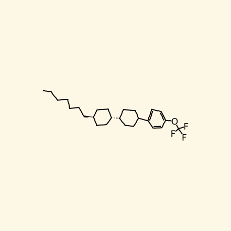 CCCCCCC[C@H]1CC[C@H](C2CCC(c3ccc(OC(F)(F)F)cc3)CC2)CC1